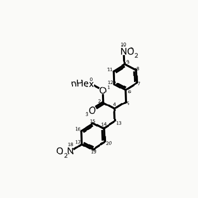 CCCCCCOC(=O)C(Cc1ccc([N+](=O)[O-])cc1)Cc1ccc([N+](=O)[O-])cc1